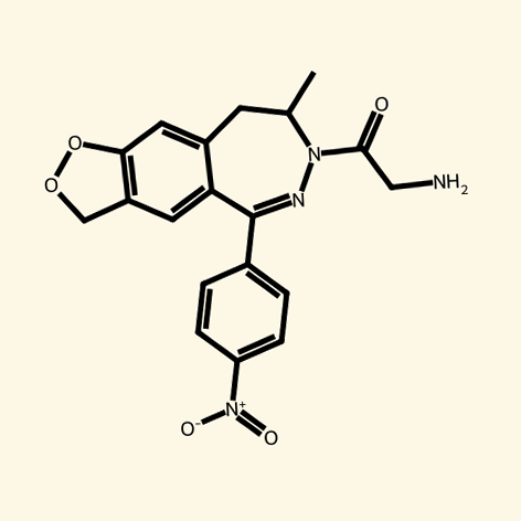 CC1Cc2cc3c(cc2C(c2ccc([N+](=O)[O-])cc2)=NN1C(=O)CN)COO3